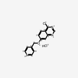 Cl.Clc1ncnc2cc(OCc3ccncc3)ccc12